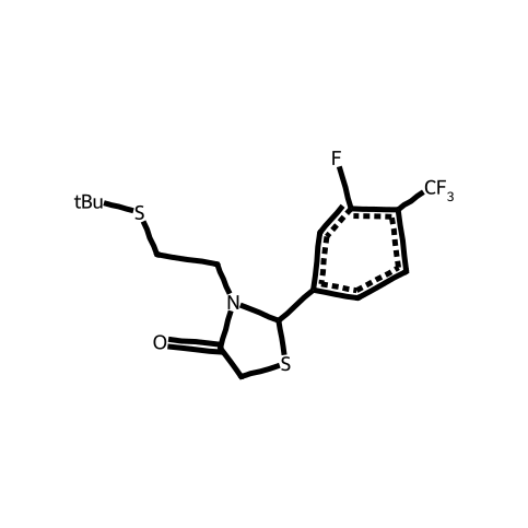 CC(C)(C)SCCN1C(=O)CSC1c1ccc(C(F)(F)F)c(F)c1